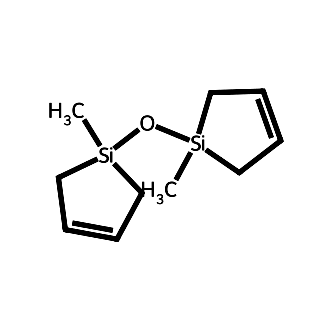 C[Si]1(O[Si]2(C)CC=CC2)CC=CC1